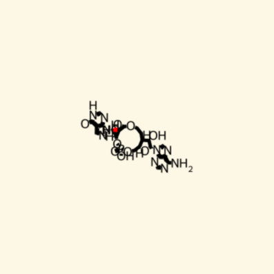 Nc1ncnc2c1ncn2[C@@H]1O[C@@H]2COP(=O)(O)O[C@@H]3[C@H](O)C(OCC[C@H]2[C@H]1O)O[C@H]3n1ncc2c(=O)[nH]cnc21